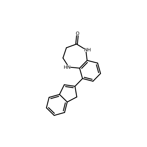 O=C1CCNc2c(cccc2C2=Cc3ccccc3C2)N1